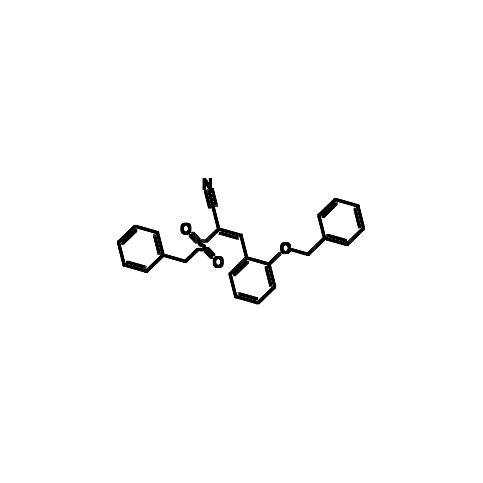 N#C/C(=C/c1ccccc1OCc1ccccc1)S(=O)(=O)Cc1ccccc1